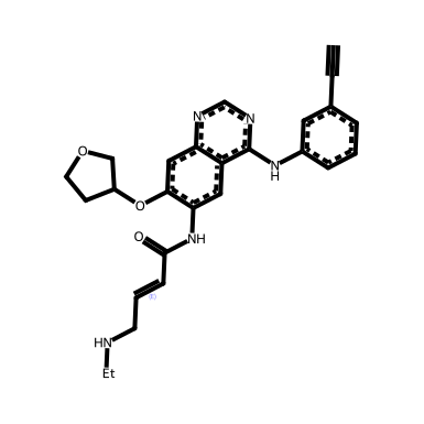 C#Cc1cccc(Nc2ncnc3cc(OC4CCOC4)c(NC(=O)/C=C/CNCC)cc23)c1